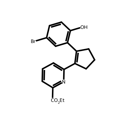 CCOC(=O)c1cccc(C2=C(c3cc(Br)ccc3O)CCC2)n1